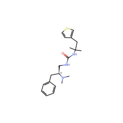 CN(C)[C@H](CNC(=O)NC(C)(C)Cc1ccsc1)Cc1ccccc1